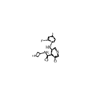 O=C(NC1CNC1)c1c(Cl)cncc1Nc1ccc(I)cc1F